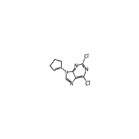 Clc1nc(Cl)c2ncn(C3=CCCC3)c2n1